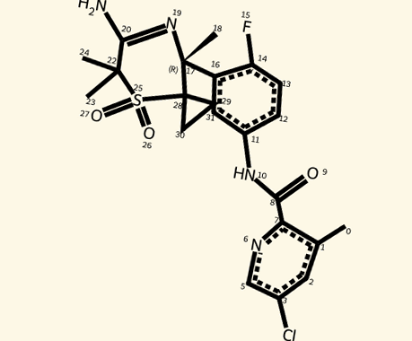 Cc1cc(Cl)cnc1C(=O)Nc1ccc(F)c([C@@]2(C)N=C(N)C(C)(C)S(=O)(=O)C23CC3)c1